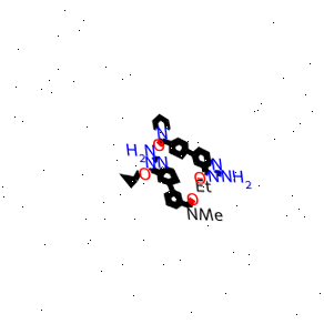 CCOc1nc(N)nc2ccc(-c3ccc(C(=O)N4CCCCC4)cc3)cc12.CNC(=O)c1cccc(-c2ccc3nc(N)nc(OCC4CC4)c3c2)c1